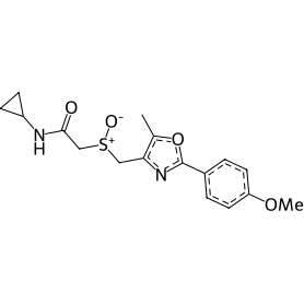 COc1ccc(-c2nc(C[S+]([O-])CC(=O)NC3CC3)c(C)o2)cc1